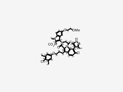 COCCOc1ccc2c(c1)c(N1CC(C)n3c(c(CCCOc4cc(C)c(Cl)c(C)c4)c4ccc(Cl)c(-c5c(C)n[nH]c5C)c43)C1=O)c(C(=O)O)n2C